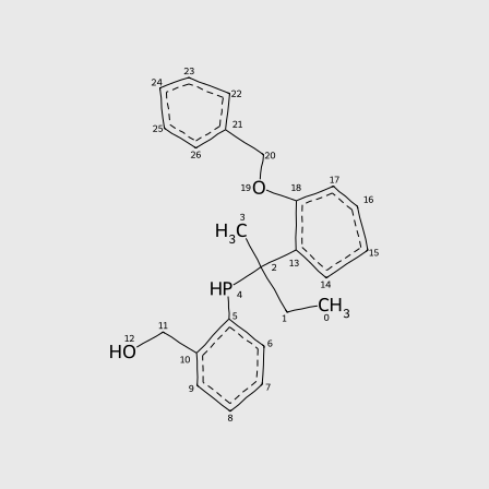 CCC(C)(Pc1ccccc1CO)c1ccccc1OCc1ccccc1